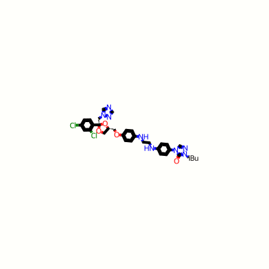 CCC(C)n1ncn(-c2ccc(NCCNc3ccc(OC[C@@H]4CO[C@@](Cn5cncn5)(c5ccc(Cl)cc5Cl)O4)cc3)cc2)c1=O